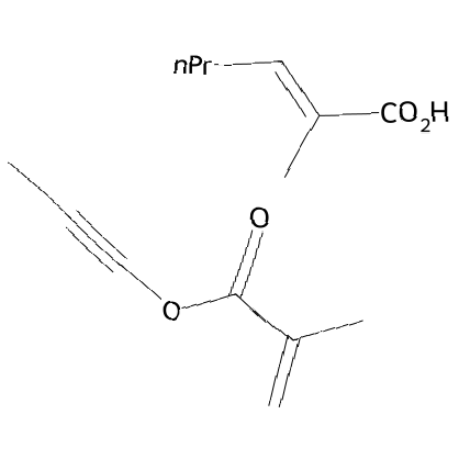 C=C(C)C(=O)OC#CC.CCCC=C(C)C(=O)O